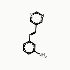 Nc1cccc(/C=C/c2cncnc2)c1